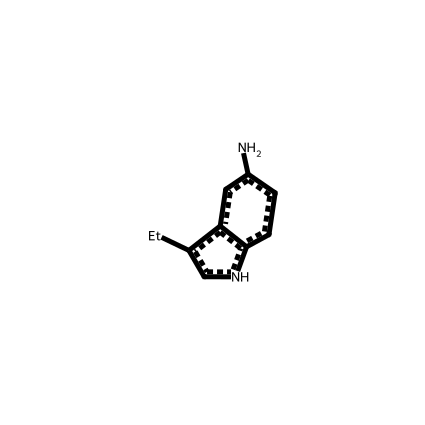 [CH2]Cc1c[nH]c2ccc(N)cc12